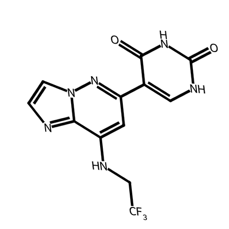 O=c1[nH]cc(-c2cc(NCC(F)(F)F)c3nccn3n2)c(=O)[nH]1